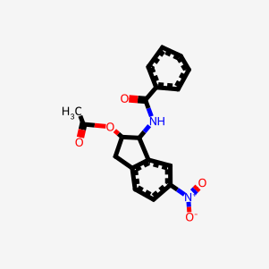 CC(=O)OC1Cc2ccc([N+](=O)[O-])cc2C1NC(=O)c1ccccc1